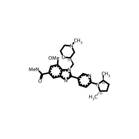 CNC(=O)c1cc(OC)c2c(c1)nc(-c1ccc(N3[C@@H](C)CC[C@@H]3C)nc1)n2C[C@@H]1CN(C)CCO1